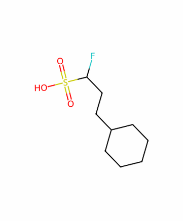 O=S(=O)(O)C(F)CCC1CCCCC1